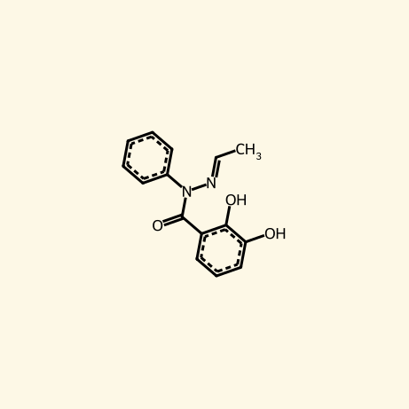 CC=NN(C(=O)c1cccc(O)c1O)c1ccccc1